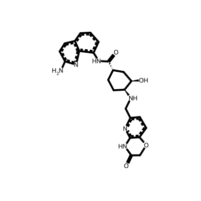 Nc1ccc2cccc(NC(=O)[C@H]3CC[C@H](NCc4ccc5c(n4)NC(=O)CO5)[C@H](O)C3)c2n1